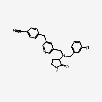 N#Cc1ccc(Cc2cncc(CN(Cc3cccc(Cl)c3)C3CCNC3=O)c2)cc1